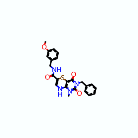 COc1cccc(CNC(=O)C2=CNc3c(c(=O)n(Cc4ccccc4)c(=O)n3C)S2)c1